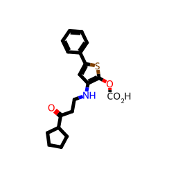 O=C(O)Oc1sc(-c2ccccc2)cc1NCCC(=O)C1CCCC1